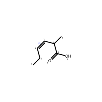 CC/C=C\C(C)C(=O)O